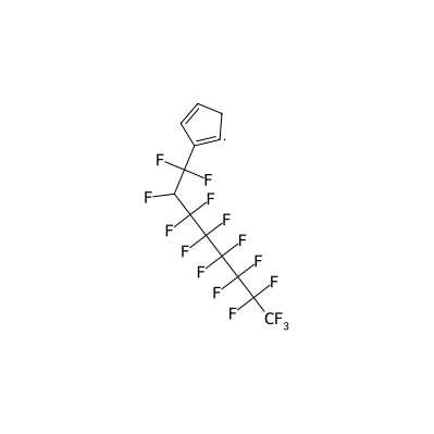 FC(C(F)(F)C1=[C]CC=C1)C(F)(F)C(F)(F)C(F)(F)C(F)(F)C(F)(F)C(F)(F)F